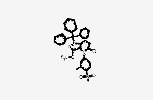 Cc1cc(-n2c(=O)ccc3c2c(OC(F)(F)F)nn3C(c2ccccc2)(c2ccccc2)c2ccccc2)ccc1S(C)(=O)=O